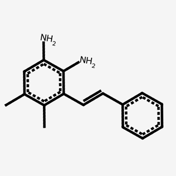 Cc1cc(N)c(N)c(C=Cc2ccccc2)c1C